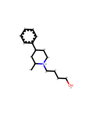 CC1CC(c2ccccc2)CCN1CCCCO